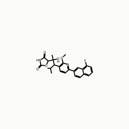 COc1nc(-c2ccc3cccc(F)c3c2)ccc1C(C(C)C)C(C)(O)C1OC(=O)NC1=O